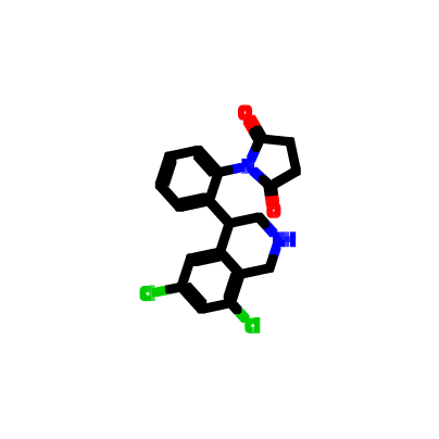 O=C1CCC(=O)N1c1ccccc1C1CNCc2c(Cl)cc(Cl)cc21